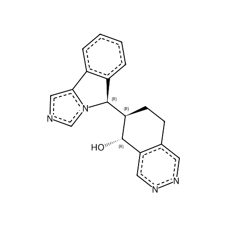 O[C@H]1c2cnncc2CC[C@@H]1[C@@H]1c2ccccc2-c2cncn21